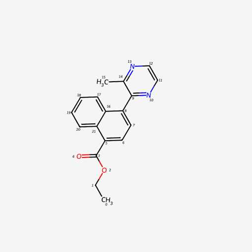 CCOC(=O)c1ccc(-c2nccnc2C)c2ccccc12